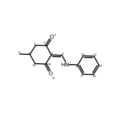 CC1CC(=O)C(=CNc2ccccc2)C(=O)C1